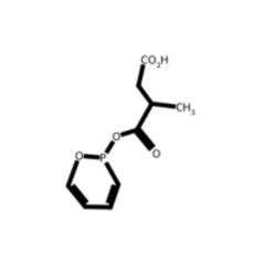 CC(CC(=O)O)C(=O)OP1C=CC=CO1